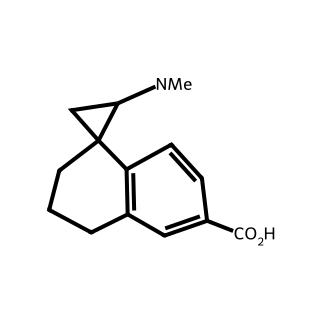 CNC1CC12CCCc1cc(C(=O)O)ccc12